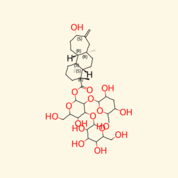 C=C1C[C@@]2(C)CC[C@H]3[C@@](C)(CCC[C@@]3(C)C(=O)OC3OC(CO)C(O)C(OC4OC(CO)C(O)C(O)C4O)C3OC3OC(CO)C(O)CC3O)[C@@H]2CC[C@@H]1O